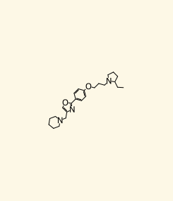 CCC1CCCN1CCCOc1ccc(-c2nc(CN3CCCCC3)co2)cc1